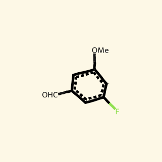 COc1[c]c(F)cc(C=O)c1